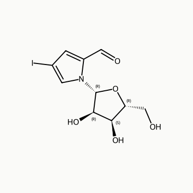 O=Cc1cc(I)cn1[C@@H]1O[C@H](CO)[C@@H](O)[C@H]1O